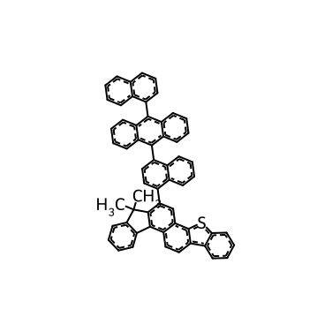 CC1(C)c2ccccc2-c2c1c(-c1ccc(-c3c4ccccc4c(-c4cccc5ccccc45)c4ccccc34)c3ccccc13)cc1c2ccc2c3ccccc3sc12